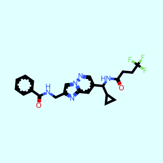 O=C(CCC(F)(F)F)NC(c1cnn2cc(CNC(=O)c3ccccc3)nc2c1)C1CC1